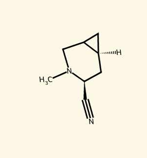 CN1CC2C[C@H]2C[C@H]1C#N